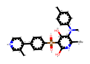 CCCCc1nc(O)c(S(=O)(=O)c2ccc(-c3ccncc3C)cc2)c(O)c1N(C)c1ccc(C)cc1